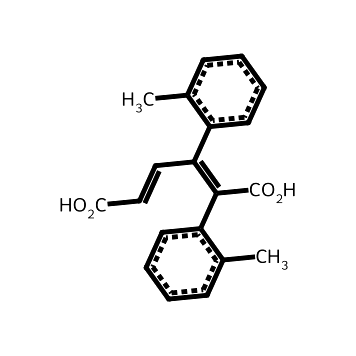 Cc1ccccc1C(/C=C/C(=O)O)=C(\C(=O)O)c1ccccc1C